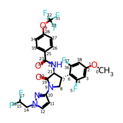 COc1cc(F)c([C@@H]2CN(c3ccn(CC(F)F)n3)C(=O)[C@H]2NC(=O)c2ccc(OC(F)(F)F)cc2)c(F)c1